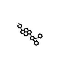 c1ccc(-n2c3ccccc3c3ccc(-c4ccc5ccc6c(-c7ccncc7)ccc7ccc4c5c76)cc32)cc1